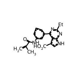 C=C(C)C(=O)Nc1cccc(-c2nc(CC)nc3[nH]cc(C(=O)O)c23)c1